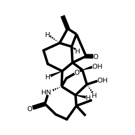 C=C1C2C(=O)C34[C@H]2[C@H]1CC[C@H]3[C@@]12CO[C@@]4(O)[C@@H](O)[C@@H]1C(C)(C)CCC(=O)N2